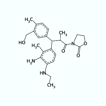 CCNc1ccc(C(c2ccc(C)c(CO)c2)C(C)C(=O)N2CCOC2=O)c(C)c1N